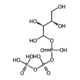 O=P(O)(O)OP(=O)(O)OP(=O)(O)OC(O)[C@@H](O)[C@H](O)CO